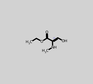 CCOC(=O)/C(=C/O)NC